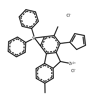 Cc1ccc2c(c1)[CH]([Zr+2])c1c(C3=CC=CC3)c(C)c3c(c1-2)[Si]3(c1ccccc1)c1ccccc1.[Cl-].[Cl-]